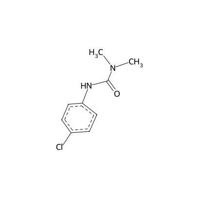 CN(C)C(=O)Nc1ccc(Cl)cc1